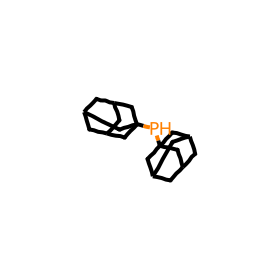 C1C2CC3CC1CC(PC14CC5CC(CC(C5)C1)C4)(C2)C3